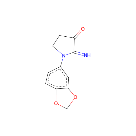 N=C1C(=O)CCN1c1ccc2c(c1)OCO2